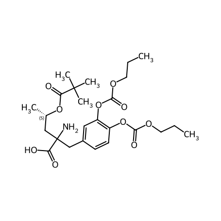 CCCOC(=O)Oc1ccc(CC(N)(C[C@H](C)OC(=O)C(C)(C)C)C(=O)O)cc1OC(=O)OCCC